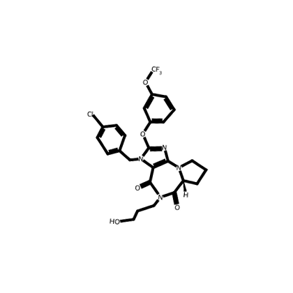 O=C1c2c(nc(Oc3cccc(OC(F)(F)F)c3)n2Cc2ccc(Cl)cc2)N2CCC[C@@H]2C(=O)N1CCCO